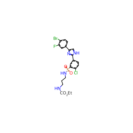 CCOC(=O)NCCCNS(=O)(=O)c1cc(-c2nc(-c3ccc(Br)c(F)c3)c[nH]2)ccc1Cl